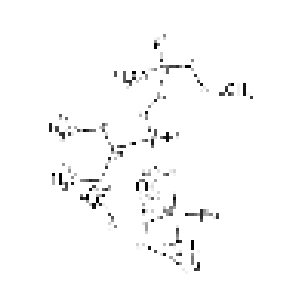 CCCC(C)(F)CCC(F)(CCC(C)(F)C(C)(CC)CC)C(CC)CC